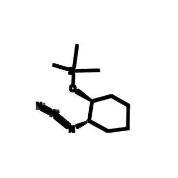 C[Si](C)(C)O[C@H]1CCCC[C@@H]1N=[N+]=[N-]